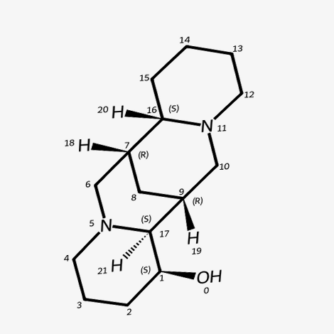 O[C@H]1CCCN2C[C@H]3C[C@H](CN4CCCC[C@@H]34)[C@@H]12